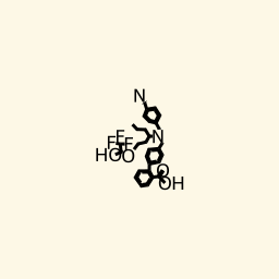 CCCC(CCC)N(Cc1ccc(C#N)cc1)Cc1ccc(-c2ccccc2C(=O)O)cc1.O=C(O)C(F)(F)F